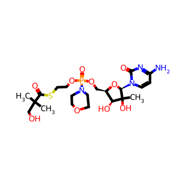 CC(C)(CO)C(=O)SCCOP(=O)(OC[C@H]1O[C@@H](n2ccc(N)nc2=O)C(C)(O)[C@H]1O)N1CCOCC1